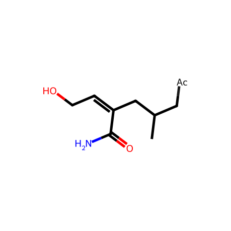 CC(=O)CC(C)CC(=CCO)C(N)=O